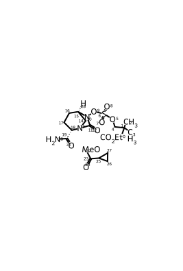 CCOC(=O)C(C)(C)COS(=O)(=O)ON1C(=O)N2C[C@H]1CC[C@H]2C(N)=O.COC(=O)C1CC1